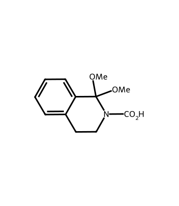 COC1(OC)c2ccccc2CCN1C(=O)O